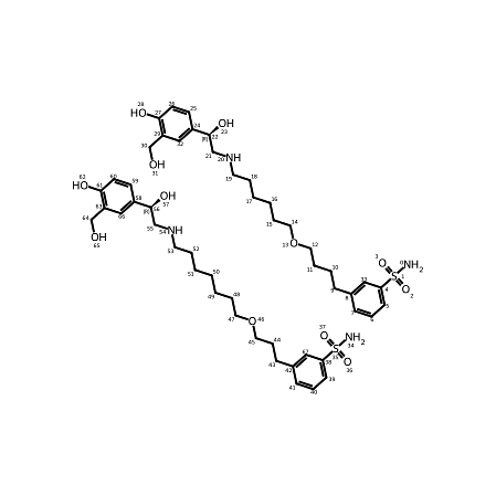 NS(=O)(=O)c1cccc(CCCCOCCCCCCNC[C@H](O)c2ccc(O)c(CO)c2)c1.NS(=O)(=O)c1cccc(CCCOCCCCCCCNC[C@H](O)c2ccc(O)c(CO)c2)c1